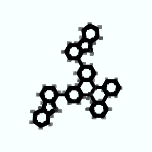 c1ccc2c(c1)B1c3ccc(-c4cccc5c4oc4ccccc45)cc3-c3cc(-c4cccc5c4oc4ccccc45)ccc3N1c1ccccc1-2